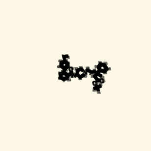 CCc1ccc(-c2ccccc2C(=O)NC2CCN(CCCC(C)(CC(=O)OC(C)(C)C)c3ccccc3)CC2)cc1